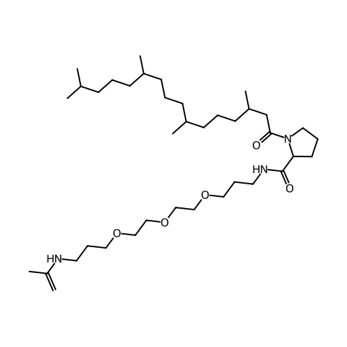 C=C(C)NCCCOCCOCCOCCCNC(=O)C1CCCN1C(=O)CC(C)CCCC(C)CCCC(C)CCCC(C)C